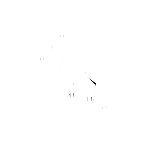 CS(=O)(=O)C1CC[C@@H](CNCl)[C@H](O)C1